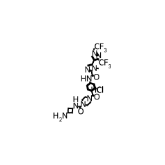 Cl.Cn1c(-c2cn(CC(F)(F)F)nc2C(F)(F)F)cnc1C(=O)Nc1ccc(C(=O)N2CCN(C(=O)N[C@H]3C[C@@H](N)C3)CC2)c(Cl)c1